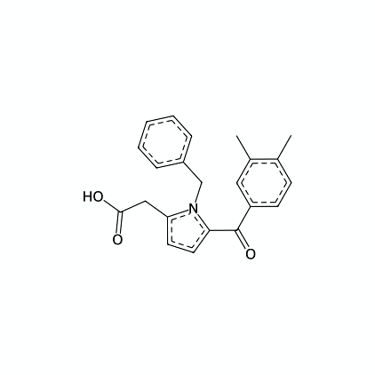 Cc1ccc(C(=O)c2ccc(CC(=O)O)n2Cc2ccccc2)cc1C